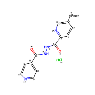 CCCCCc1ccc(C(=O)NNC(=O)c2ccncc2)nc1.Cl